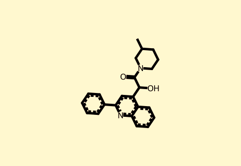 CC1CCCN(C(=O)C(O)c2cc(-c3ccccc3)nc3ccccc23)C1